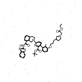 CCOC(=O)CN1CC[C@@H](CCCOc2cccc(-c3ccc(N4CCc5cccc(C(=O)Nc6nc7ccccc7s6)c5C4)nc3C(=O)OC(C)(C)C)c2C)C1